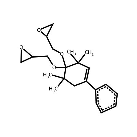 CC1(C)C=C(c2ccccc2)CC(C)(C)C1(OCC1CO1)OCC1CO1